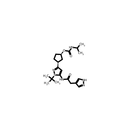 CC(C)NC(=O)O[C@@H]1CC[C@H](c2cc(NC(=O)Cc3cn[nH]c3)n(C(C)(C)C)n2)C1